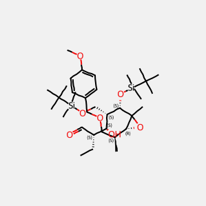 CC[C@H](C=O)[C@@H](O)[C@H](CO[Si](C)(C)C(C)(C)C)[C@H](O[Si](C)(C)C(C)(C)C)C1(C)O[C@@H]1[C@@H](C)COCc1ccc(OC)cc1